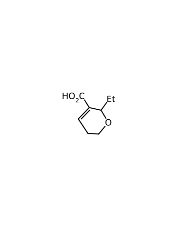 CCC1OCCC=C1C(=O)O